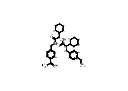 N=C(N)c1ccc(CNC(=O)[C@@H](NC(=O)[C@H](Cc2ccc(CN)cc2)C2CCCCC2)C2CCCCC2)cc1